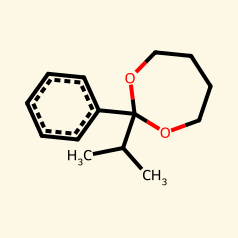 CC(C)C1(c2ccccc2)OCCCCO1